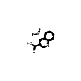 F[B]F.O=C(O)c1cnc2ccccc2c1